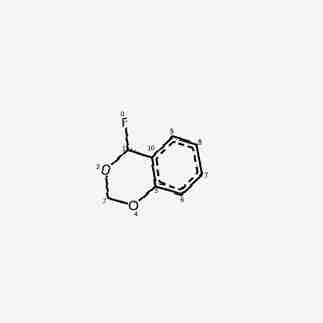 FC1OCOc2ccccc21